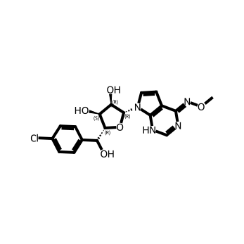 CON=c1nc[nH]c2c1ccn2[C@@H]1O[C@H](C(O)c2ccc(Cl)cc2)[C@@H](O)[C@H]1O